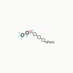 CCCCCC1CCC(C2CCC(C3CCC(C(F)(F)Oc4ccc(-c5cc(F)c(F)c(F)c5)c(F)c4)CC3)CC2)CC1